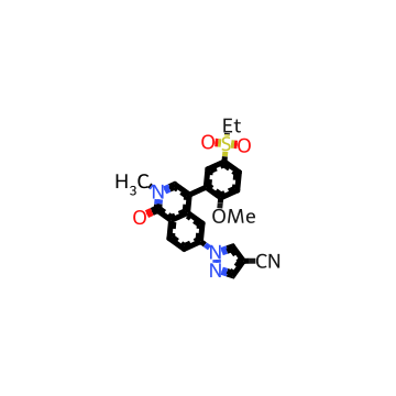 CCS(=O)(=O)c1ccc(OC)c(-c2cn(C)c(=O)c3ccc(-n4cc(C#N)cn4)cc23)c1